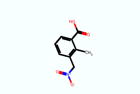 Cc1c(C[N+](=O)[O-])cccc1C(=O)O